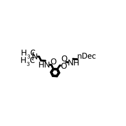 CCCCCCCCCCCCNC(=O)OCc1ccccc1C(=O)NCCCN(C)C